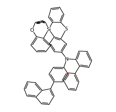 c1ccc(-c2ccccc2N(c2ccc(-c3cccc4ccccc34)cc2)c2ccc3c(c2)Sc2ccccc2[Si]32c3ccccc3Oc3ccccc32)cc1